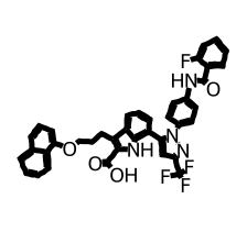 O=C(Nc1ccc(-n2nc(C(F)(F)F)cc2-c2cccc3c(CCCOc4cccc5ccccc45)c(C(=O)O)[nH]c23)cc1)c1ccccc1F